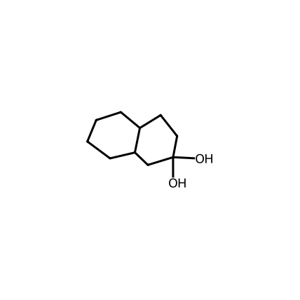 OC1(O)CCC2CCCCC2C1